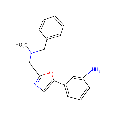 Nc1cccc(-c2cnc(CN(Cc3ccccc3)C(=O)O)o2)c1